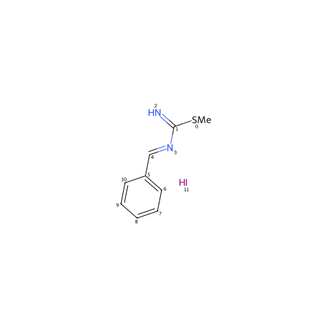 CSC(=N)N=Cc1ccccc1.I